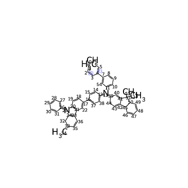 C#C/C=C\C(=C/C)c1cccc(N(c2ccc(-c3ccc4c(c3)c3c(n4-c4ccccc4)CC(C)C=C3)cc2)C2C=C3C(=CC2)C2C=CC=CC2C3(C)C)c1